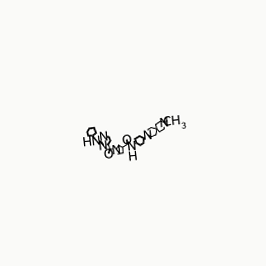 CN1CCC2(CC1)CCN(c1ccc(NC(=O)C3CCN(C(=O)c4ccnc(Nc5ccccc5)n4)C3)cc1)CC2